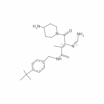 C=C(NCc1ccc(C(C)(C)C)cc1)/C(C)=C(\N=C/N)C(=O)N1CCC(N)CC1